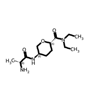 CCN(CC)C(=O)[C@@H]1CC[C@@H](NC(=O)[C@@H](C)N)CO1